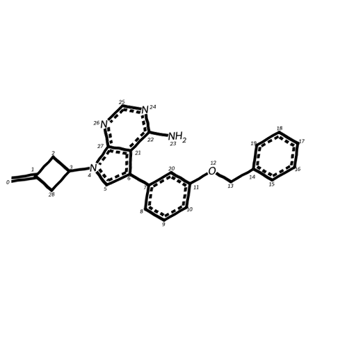 C=C1CC(n2cc(-c3cccc(OCc4ccccc4)c3)c3c(N)ncnc32)C1